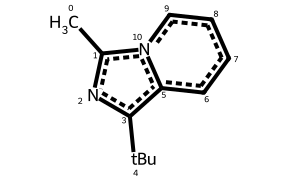 Cc1nc(C(C)(C)C)c2ccccn12